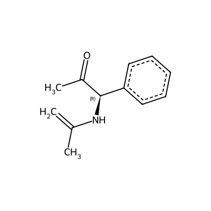 C=C(C)N[C@@H](C(C)=O)c1ccccc1